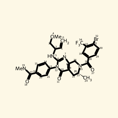 C=CC(COC)Nc1nc2c(c(=O)n1-c1ccc(C(=O)NC)cc1)C[C@@H](C)N(C(=O)c1ccc(Br)c(C(F)(F)F)c1)C2